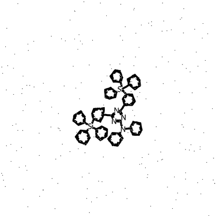 c1ccc(N(c2ccccc2)c2nc(-c3cccc([Si](c4ccccc4)(c4ccccc4)c4ccccc4)c3)nc(-c3cccc([Si](c4ccccc4)(c4ccccc4)c4ccccc4)c3)n2)cc1